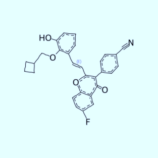 N#Cc1ccc(-c2c(/C=C/c3cccc(O)c3OCC3CCC3)oc3ccc(F)cc3c2=O)cc1